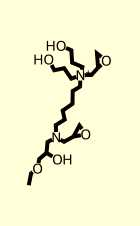 CCOCC(O)CN(CCCCCC[N+](CCCO)(CCCO)CC1CO1)CC1CO1